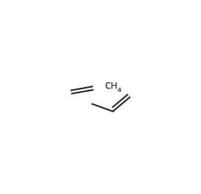 C.C=C.C=CC